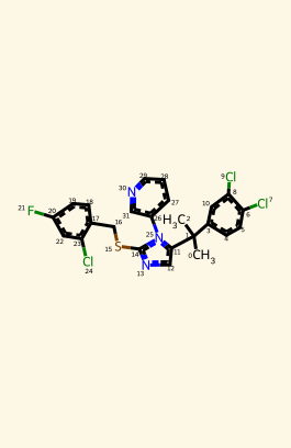 CC(C)(c1ccc(Cl)c(Cl)c1)c1cnc(SCc2ccc(F)cc2Cl)n1-c1cccnc1